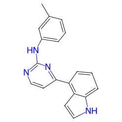 Cc1cccc(Nc2nccc(-c3cccc4[nH]ccc34)n2)c1